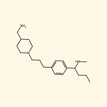 CCCC(NC)c1ccc(CCCN2CCC(CN)CC2)cc1